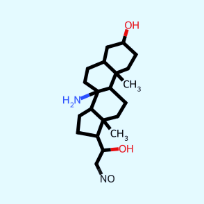 CC12CCC(O)CC1CCC1(N)C2CCC2(C)C(C(O)CN=O)CCC21